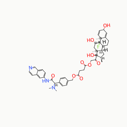 C[C@@H]1C[C@H]2[C@@H]3CCC4=CC(O)C=C[C@]4(C)[C@@]3(F)[C@@H](O)C[C@]2(C)[C@@]1(O)C(=O)COC(=O)CCC(=O)OCc1ccc([C@H](C(=O)Nc2ccc3cnccc3c2)N(C)C)cc1